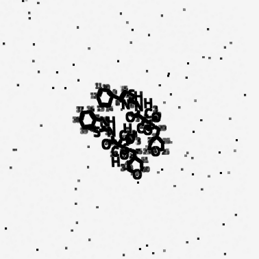 CC(C)(C(=O)Nc1nc(-c2ccccc2)cs1)S(=O)(=O)CC1CCOCC1.CC(C)(C(=O)Nc1nc2ccccc2s1)S(=O)(=O)CC1CCOCC1